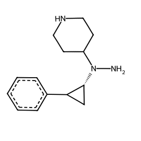 NN(C1CCNCC1)[C@@H]1CC1c1ccccc1